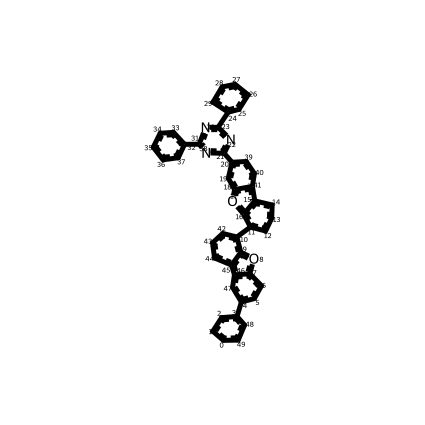 c1ccc(-c2ccc3oc4c(-c5cccc6c5oc5cc(-c7nc(-c8ccccc8)nc(-c8ccccc8)n7)ccc56)cccc4c3c2)cc1